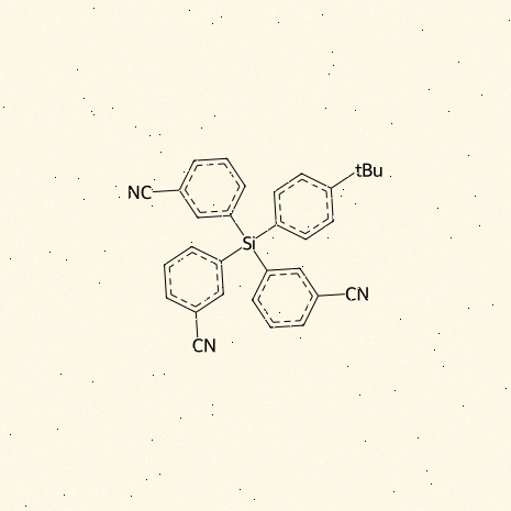 CC(C)(C)c1ccc([Si](c2cccc(C#N)c2)(c2cccc(C#N)c2)c2cccc(C#N)c2)cc1